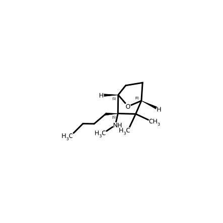 CCCC[C@@]1(NC)[C@@H]2CC[C@@H](O2)C1(C)C